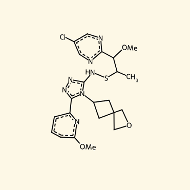 COc1cccc(-c2nnc(NSC(C)C(OC)c3ncc(Cl)cn3)n2C2CC3(COC3)C2)n1